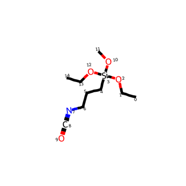 CCO[Si](CCCN=C=O)(OC)OCC